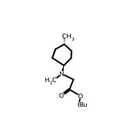 CN(CC(=O)OC(C)(C)C)[C@H]1CC[C@H](C)CC1